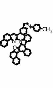 Cc1ccc(-n2ccc3cc(-c4cc5ccc6ccccc6c5nc4-n4c5ccccc5c5c6ccccc6c6c(oc7ccc8ccccc8c76)c54)ccc32)cc1